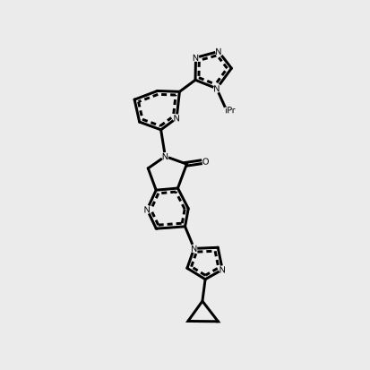 CC(C)n1cnnc1-c1cccc(N2Cc3ncc(-n4cnc(C5CC5)c4)cc3C2=O)n1